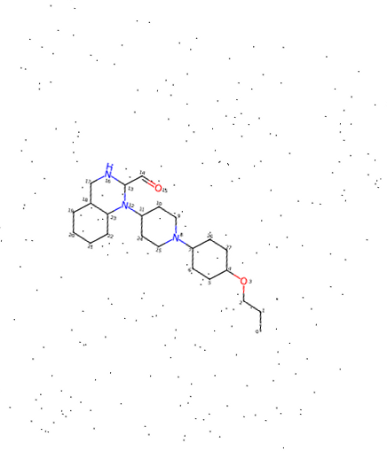 CCCOC1CCC(N2CCC(N3C(C=O)NCC4CCCCC43)CC2)CC1